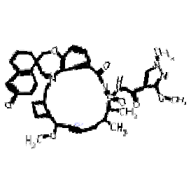 COc1nn(C)cc1C(=O)NS1(=O)=NC(=O)c2ccc3c(c2)N(CC2CCC2C(OC)/C=C/CC(C)C1C)CC1(CCCc2cc(Cl)ccc21)CO3